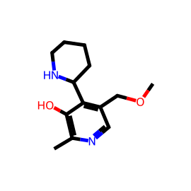 COCc1cnc(C)c(O)c1C1CCCCN1